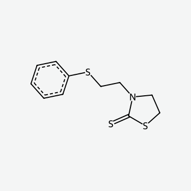 S=C1SCCN1CCSc1ccccc1